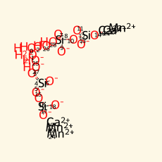 O.O.O.O=[Si]([O-])[O-].O=[Si]([O-])[O-].O=[Si]([O-])[O-].O=[Si]([O-])[O-].[Ca+2].[Ca+2].[Ca+2].[Mn+2].[Mn+2].[Mn+2].[OH-].[OH-].[OH-].[OH-]